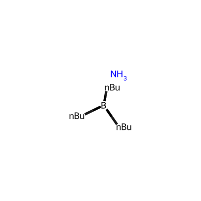 CCCCB(CCCC)CCCC.N